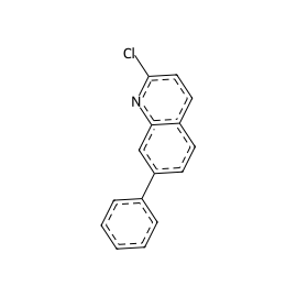 Clc1ccc2ccc(-c3ccccc3)cc2n1